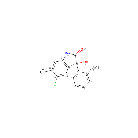 COc1ccccc1C1(O)C(=O)Nc2cc(C)c(Cl)cc21